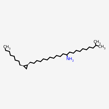 CCCCCCCC[C@@H]1C[C@@H]1CCCCCCCCCCCC(N)CCCCCCCCC(C)C